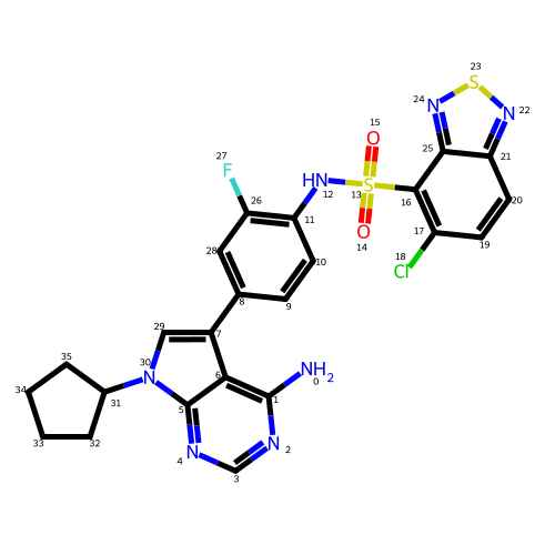 Nc1ncnc2c1c(-c1ccc(NS(=O)(=O)c3c(Cl)ccc4nsnc34)c(F)c1)cn2C1CCCC1